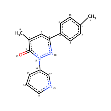 Cc1ccc(-c2cc(C)c(=O)n(-c3cccnc3)n2)cc1